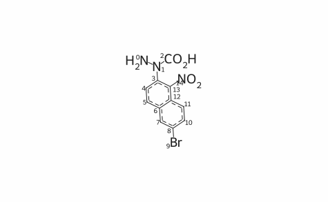 NN(C(=O)O)c1ccc2cc(Br)ccc2c1[N+](=O)[O-]